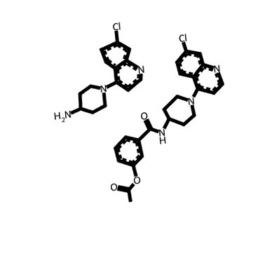 CC(=O)Oc1cccc(C(=O)NC2CCN(c3ccnc4cc(Cl)ccc34)CC2)c1.NC1CCN(c2ccnc3cc(Cl)ccc23)CC1